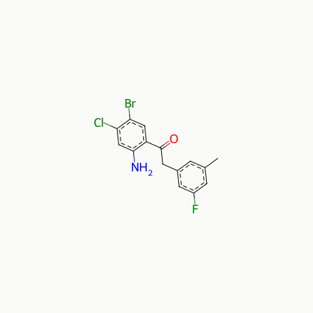 Cc1cc(F)cc(CC(=O)c2cc(Br)c(Cl)cc2N)c1